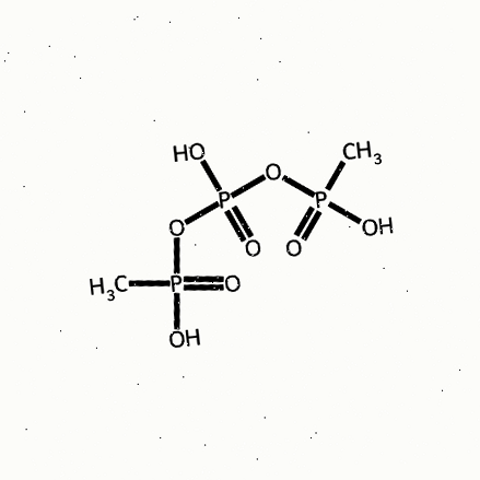 CP(=O)(O)OP(=O)(O)OP(C)(=O)O